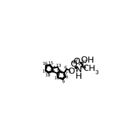 C[C@H](NC(=O)OCc1cccc2c1Cc1ccccc1-2)C(=O)O